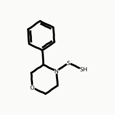 SSN1CCOCC1c1ccccc1